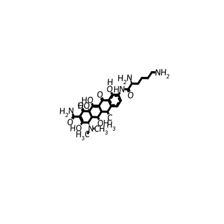 CC1c2ccc(NC(=O)[C@@H](N)CCCCN)c(O)c2C(=O)C2=C(O)[C@]3(O)C(=O)C(C(N)=O)=C(O)[C@@H](N(C)C)C3C(O)C21